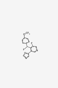 Fc1cncc(-c2cnco2)c1C(F)c1ccc(OC(F)(F)F)cc1